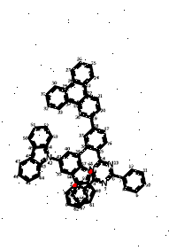 c1ccc(-c2nc(-c3ccccc3)nc(-c3ccc(-c4ccc5c6ccccc6c6ccccc6c5c4)cc3-c3cc(-n4c5ccccc5c5ccccc54)cc4c3oc3ccccc34)n2)cc1